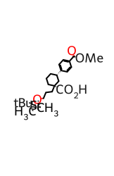 COC(=O)c1ccc([C@H]2CCC[C@@](CCCO[Si](C)(C)C(C)(C)C)(C(=O)O)C2)cc1